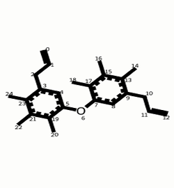 C=CCc1cc(Oc2cc(CC=C)c(C)c(C)c2C)c(C)c(C)c1C